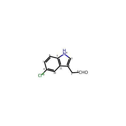 O=CCc1c[nH]c2ccc(Cl)cc12